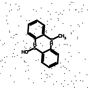 C[SH]1c2ccccc2[SH](O)c2ccccc21